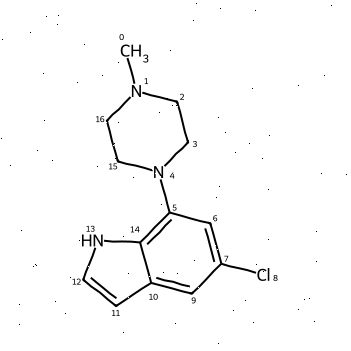 CN1CCN(c2cc(Cl)cc3cc[nH]c23)CC1